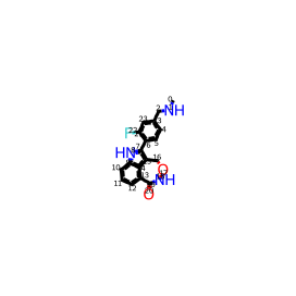 CNCc1ccc(-c2[nH]c3cccc4c3c2CONC4=O)c(F)c1